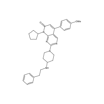 COc1ccc(-c2cc(=O)n(C3CCCC3)c3nc(N4CCC(NCCc5ccccc5)CC4)ncc23)cc1